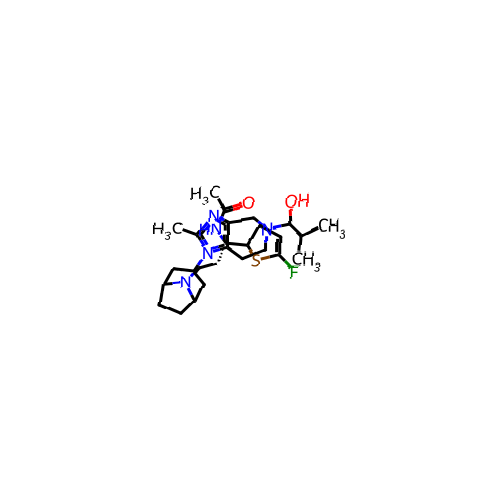 CC(=O)N[C@@H](CCN1C2CCC1CC(n1c(C)nc3c1CCN(C(O)C(C)C)C3)C2)C1CC=C(F)S1